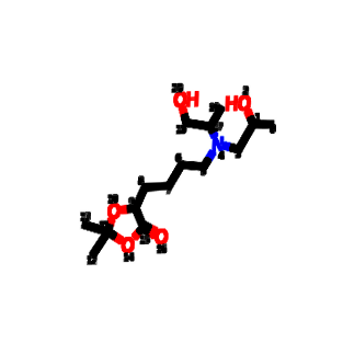 CC(O)CN(CCCCC1OC(C)(C)OC1=O)C(C)CO